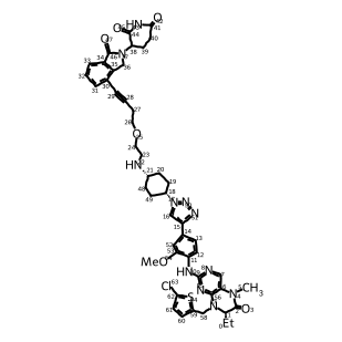 CC[C@@H]1C(=O)N(C)c2cnc(Nc3ccc(-c4cn([C@H]5CC[C@@H](NCCOCCC#Cc6cccc7c6CN(C6CCC(=O)NC6=O)C7=O)CC5)nn4)cc3OC)nc2N1Cc1ccc(Cl)s1